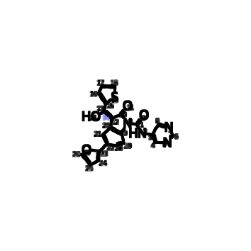 O=C(Nc1cncnc1)N1C(=O)/C(=C(/O)c2cccs2)c2cc(-c3ccco3)ccc21